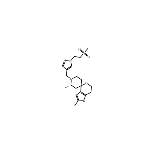 Cc1cc2c(s1)CCO[C@]21CCN(Cc2cnn(CCS(C)(=O)=O)c2)[C@@H](C)C1